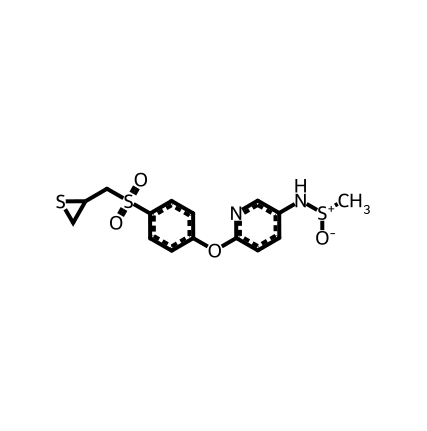 C[S+]([O-])Nc1ccc(Oc2ccc(S(=O)(=O)CC3CS3)cc2)nc1